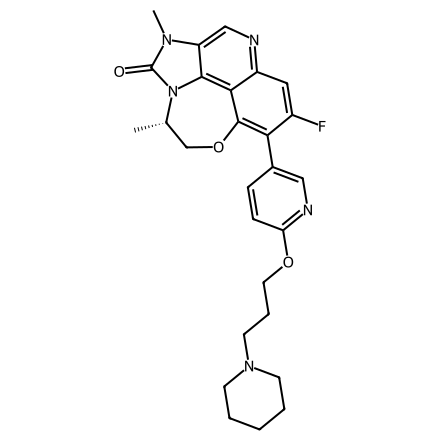 C[C@H]1COc2c(-c3ccc(OCCCN4CCCCC4)nc3)c(F)cc3ncc4c(c23)n1c(=O)n4C